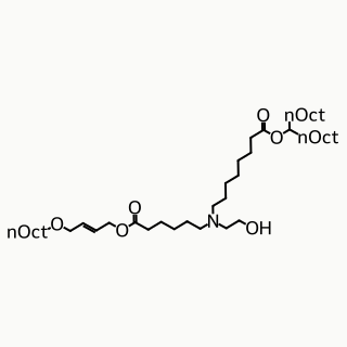 CCCCCCCCOCC=CCOC(=O)CCCCCN(CCO)CCCCCCCC(=O)OC(CCCCCCCC)CCCCCCCC